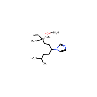 CO[Si](CCC(CCC(C)S(=O)(=O)O)n1ccnc1)(OC)OC.O=S(=O)(O)O